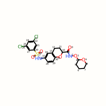 O=C(NOC1CCCCO1)C1CCc2cc(NS(=O)(=O)c3cc(Cl)cc(Cl)c3)ccc2O1